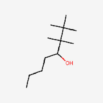 CCCCC(O)C(C)(C)C(C)(C)C